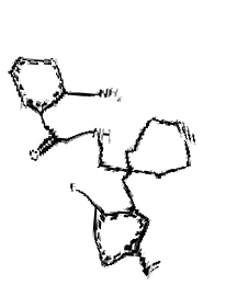 Nc1nccnc1C(=O)NCC1(c2cc(F)ccc2F)CCNCC1